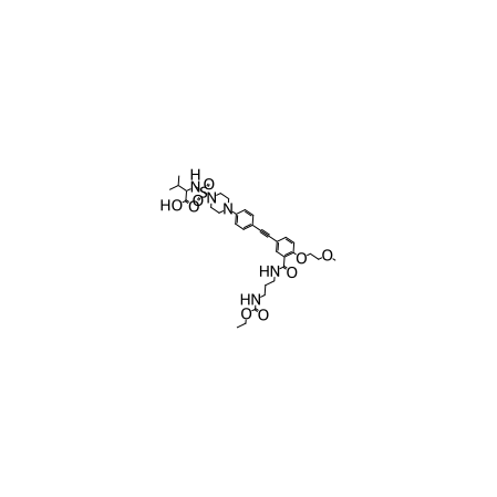 CCOC(=O)NCCCNC(=O)c1cc(C#Cc2ccc(N3CCN(S(=O)(=O)NC(C(=O)O)C(C)C)CC3)cc2)ccc1OCCOC